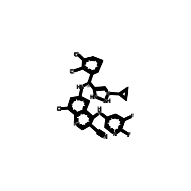 N#Cc1cnc2c(Cl)cc(N[C@H](C3=CN(C4CC4)NN3)c3cccc(Cl)c3Cl)cc2c1Nc1cnc(F)c(F)c1